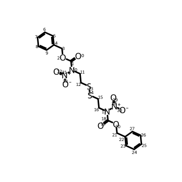 O=C(OCc1ccccc1)N(CCSSCCN(C(=O)OCc1ccccc1)[N+](=O)[O-])[N+](=O)[O-]